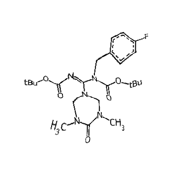 CN1CN(/C(=N\C(=O)OC(C)(C)C)N(Cc2ccc(F)cc2)C(=O)OC(C)(C)C)CN(C)C1=O